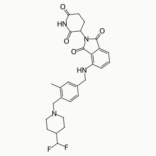 Cc1cc(CNc2cccc3c2C(=O)N(C2CCC(=O)NC2=O)C3=O)ccc1CN1CCC(C(F)F)CC1